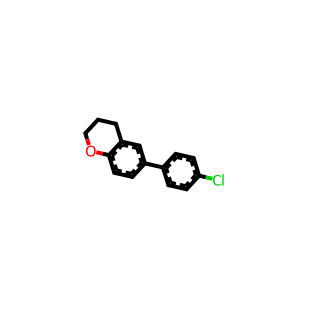 Clc1ccc(-c2ccc3c(c2)CCCO3)cc1